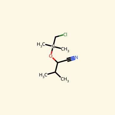 CC(C)C(C#N)O[Si](C)(C)CCl